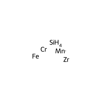 [Cr].[Fe].[Mn].[SiH4].[Zr]